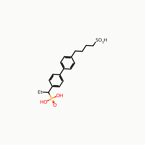 CCC(c1ccc(-c2ccc(CCCCS(=O)(=O)O)cc2)cc1)P(=O)(O)O